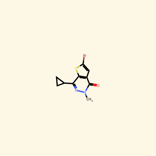 Cn1nc(C2CC2)c2sc(Br)cc2c1=O